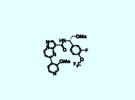 COC[C@@H](NC(=O)c1cnn2ccc(-c3ccncc3OC)nc12)c1ccc(OC(F)(F)F)c(F)c1